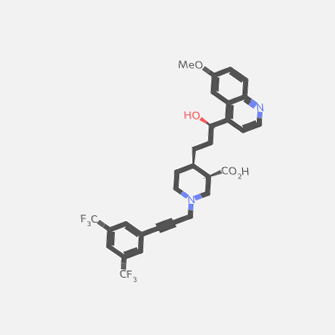 COc1ccc2nccc([C@H](O)CC[C@@H]3CCN(CC#Cc4cc(C(F)(F)F)cc(C(F)(F)F)c4)C[C@@H]3C(=O)O)c2c1